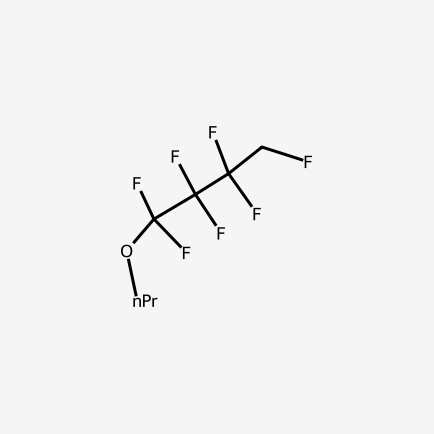 [CH2]CCOC(F)(F)C(F)(F)C(F)(F)CF